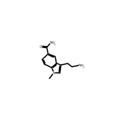 Cn1cc(CCN)c2cc(C(N)=O)ccc21